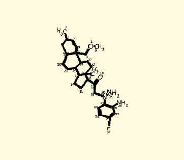 COCC12CCC(C)CC1CCC1C3CCC(C(=O)CN(N)c4ccc(F)cc4N)C3(C)CCC12